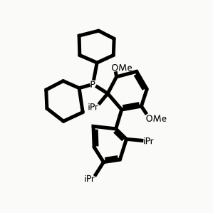 COC1=C(c2ccc(C(C)C)cc2C(C)C)C(C(C)C)(P(C2CCCCC2)C2CCCCC2)C(OC)C=C1